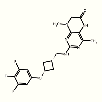 Cc1nc(NC[C@H]2C[C@@H](Oc3cc(F)c(F)c(F)c3)C2)nc2c1NC(=O)CN2C